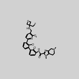 COc1nc(-c2cccc(-c3cccc(NC(=O)c4nc5c(n4C)CCN(C)C5)c3Cl)c2Cl)ccc1CNC1(CF)COC1